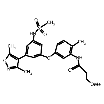 COCCC(=O)Nc1cc(Oc2cc(NS(C)(=O)=O)cc(-c3c(C)noc3C)c2)ccc1C